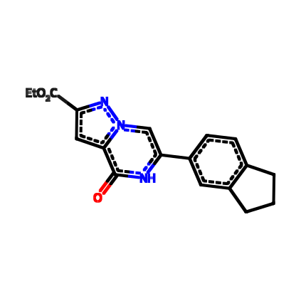 CCOC(=O)c1cc2c(=O)[nH]c(-c3ccc4c(c3)CCC4)cn2n1